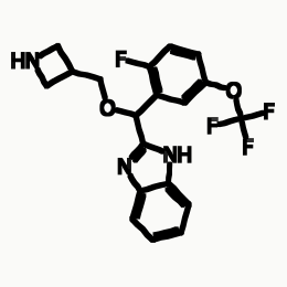 Fc1ccc(OC(F)(F)F)cc1C(OCC1CNC1)c1nc2ccccc2[nH]1